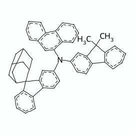 CC1(C)c2ccccc2-c2ccc(N(c3ccc4c(c3)C3(c5ccccc5-4)C4CC5CC(C4)CC3C5)c3cc4ccccc4c4ccccc34)cc21